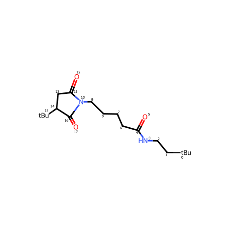 CC(C)(C)CCNC(=O)CCCCN1C(=O)CC(C(C)(C)C)C1=O